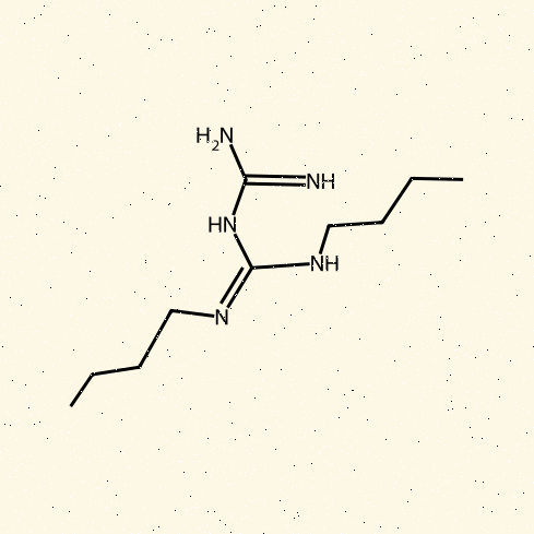 CCCCN=C(NCCCC)NC(=N)N